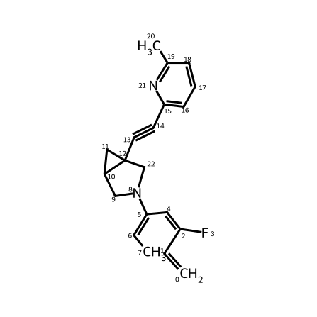 C=C/C(F)=C\C(=C/C)N1CC2CC2(C#Cc2cccc(C)n2)C1